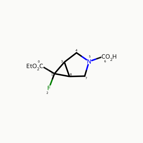 CCOC(=O)C1(F)C2CN(C(=O)O)CC21